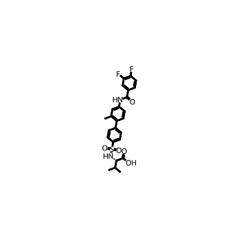 Cc1cc(NC(=O)c2ccc(F)c(F)c2)ccc1-c1ccc(S(=O)(=O)N[C@H](C(=O)O)C(C)C)cc1